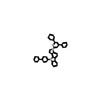 c1ccc(-c2ccc(-n3c4ccccc4c4ccc5c(ccn5-c5cc(-c6ccccc6)cc(-c6ccccc6)n5)c43)cc2)cc1